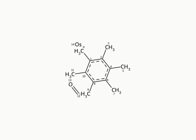 Cc1c(C)c(C)c(C)c(C)c1C.[C]=O.[Os]